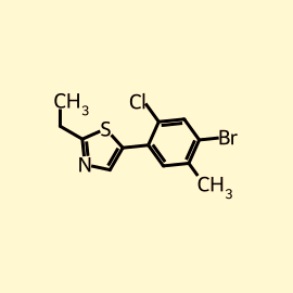 CCc1ncc(-c2cc(C)c(Br)cc2Cl)s1